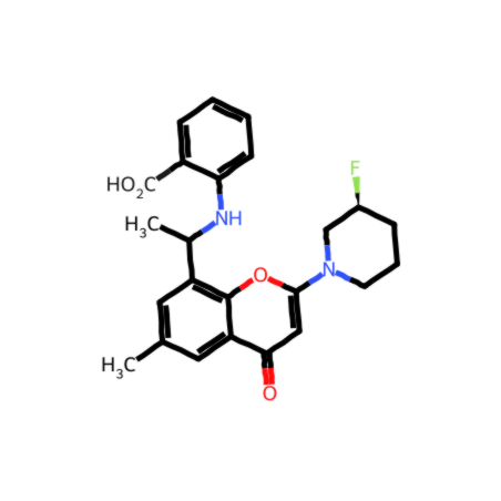 Cc1cc(C(C)Nc2ccccc2C(=O)O)c2oc(N3CCC[C@H](F)C3)cc(=O)c2c1